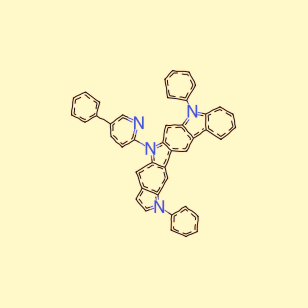 c1ccc(-c2ccc(-n3c4cc5ccn(-c6ccccc6)c5cc4c4cc5c6ccccc6n(-c6ccccc6)c5cc43)nc2)cc1